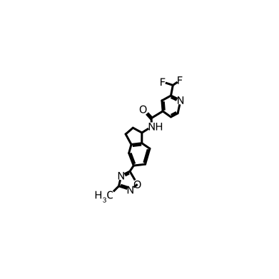 Cc1noc(-c2ccc3c(c2)CCC3NC(=O)c2ccnc(C(F)F)c2)n1